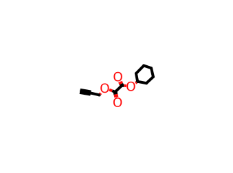 C#CCOC(=O)C(=O)OC1CCCCC1